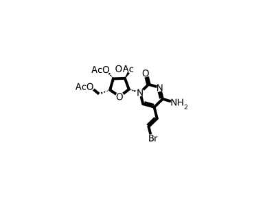 CC(=O)OC[C@H]1O[C@@H](n2cc(C=CBr)c(N)nc2=O)[C@H](OC(C)=O)[C@H]1OC(C)=O